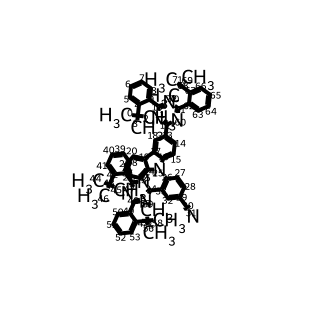 CC(C)(C)c1ccccc1-c1nc(-c2ccc3c(c2)c2ccccc2n3-c2ccc(C#N)cc2-c2nc(-c3ccccc3C(C)(C)C)nc(-c3ccccc3C(C)(C)C)n2)nc(-c2ccccc2C(C)(C)C)n1